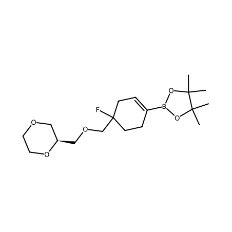 CC1(C)OB(C2=CCC(F)(COC[C@@H]3COCCO3)CC2)OC1(C)C